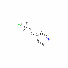 C[Si](C)(Cl)CCc1ccncc1